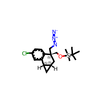 CC(C)(C)[Si](C)(C)OC[C@@]1(CN=[N+]=[N-])C[C@@H]2C[C@@H]2c2cc(Cl)ccc21